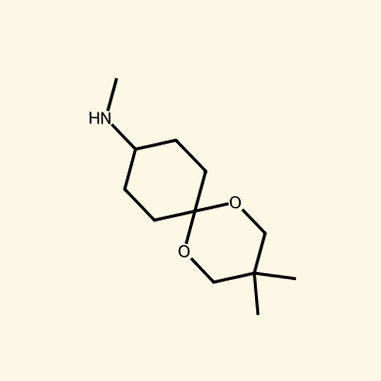 CNC1CCC2(CC1)OCC(C)(C)CO2